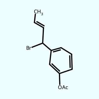 CC=CC(Br)c1cccc(OC(C)=O)c1